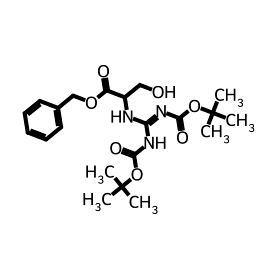 CC(C)(C)OC(=O)N=C(NC(=O)OC(C)(C)C)NC(CO)C(=O)OCc1ccccc1